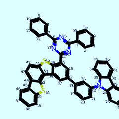 c1ccc(-c2nc(-c3ccccc3)nc(-c3cc(-c4cccc(-n5c6ccccc6c6ccccc65)c4)cc4c3sc3ccc5c6ccccc6sc5c34)n2)cc1